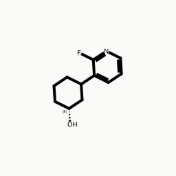 O[C@@H]1CCCC(c2cccnc2F)C1